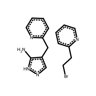 BrCCc1ccccn1.Nc1[nH]ncc1Cc1ccccn1